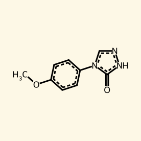 COc1ccc(-n2cn[nH]c2=O)cc1